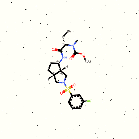 CC(C)C[C@@H](C(=O)N[C@@H]1CC[C@H]2CN(S(=O)(=O)c3cccc(F)c3)C[C@H]21)N(C)C(=O)OC(C)(C)C